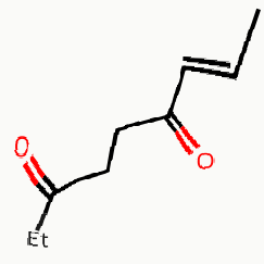 C/C=C/C(=O)CCC(=O)CC